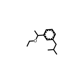 CCOC(C)c1cccc(CC(C)C)c1